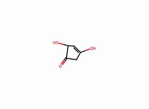 O=C1CC(O)=CC1O